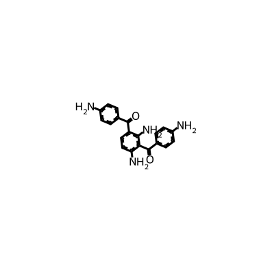 Nc1ccc(C(=O)c2ccc(N)c(C(=O)c3ccc(N)cc3)c2N)cc1